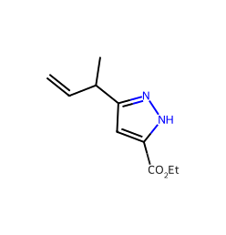 C=CC(C)c1cc(C(=O)OCC)[nH]n1